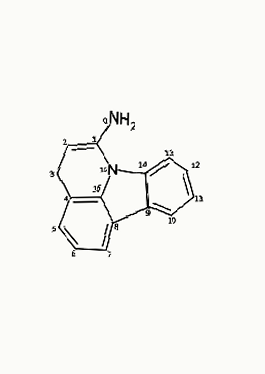 NC1=CCc2cccc3c4ccccc4n1c23